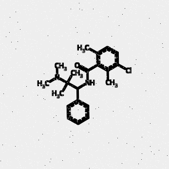 Cc1ccc(Cl)c(C)c1C(=O)NC(c1ccccc1)C(C)(C)N(C)C